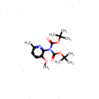 COc1ccc(C)nc1N(C(=O)OC(C)(C)C)C(=O)OC(C)(C)C